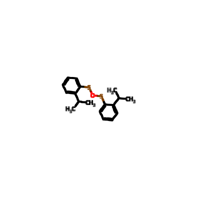 CC(C)c1ccccc1SOSc1ccccc1C(C)C